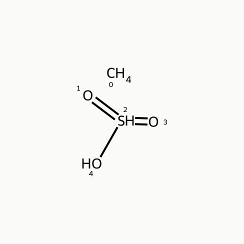 C.O=[SH](=O)O